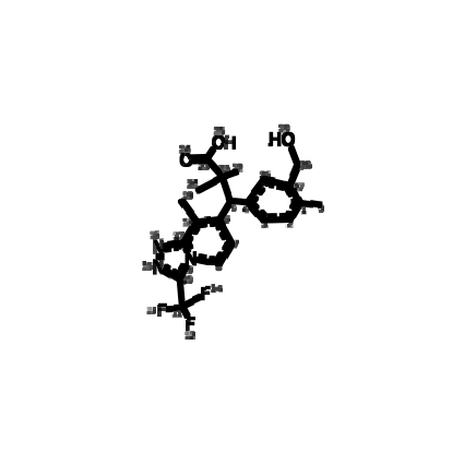 Cc1ccc(C(c2ccn3c(C(F)(F)F)nnc3c2C)C(C)(C)C(=O)O)cc1CO